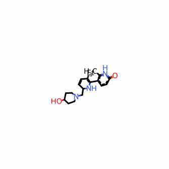 CCC1=C(c2ccc(=O)[nH]c2C)NC(CN2CCC(O)CC2)C=C1